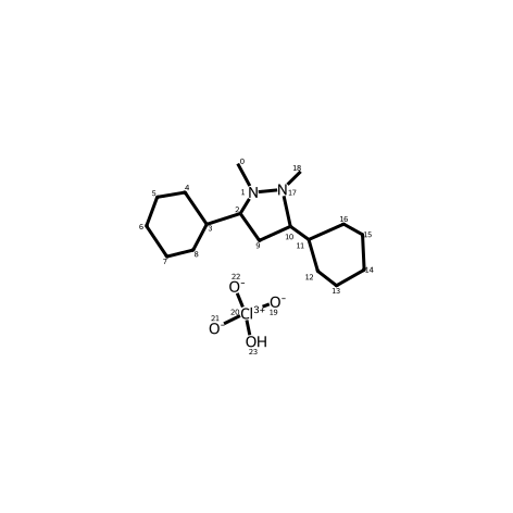 CN1C(C2CCCCC2)CC(C2CCCCC2)N1C.[O-][Cl+3]([O-])([O-])O